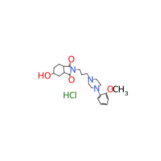 COc1ccccc1N1CCN(CCCN2C(=O)C3CCC(O)CC3C2=O)CC1.Cl